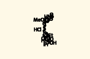 CCN1C(=O)[C@@H]([C@H](O)C(C)C)NC(=O)C12CCN(CCCCOc1ccc(NS(C)(=O)=O)cc1OC)CC2.Cl